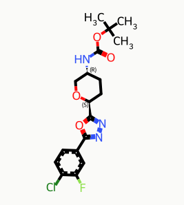 CC(C)(C)OC(=O)N[C@@H]1CC[C@@H](c2nnc(-c3ccc(Cl)c(F)c3)o2)OC1